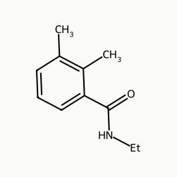 CCNC(=O)c1cccc(C)c1C